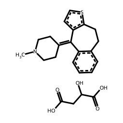 CN1CCC(=C2c3ccccc3CCc3sccc32)CC1.O=C(O)CC(O)C(=O)O